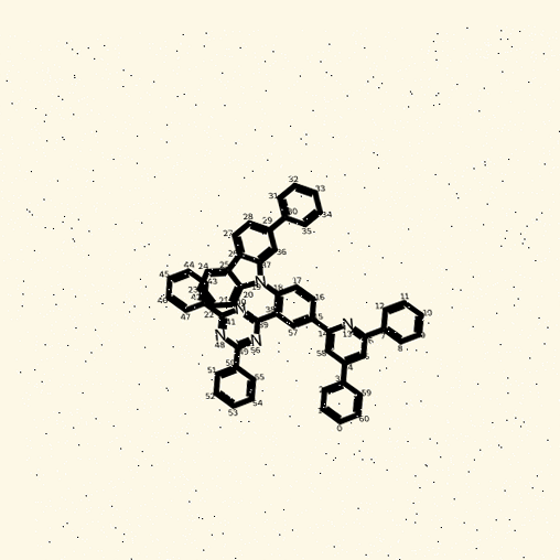 c1ccc(-c2cc(-c3ccccc3)nc(-c3ccc(-n4c5ccccc5c5ccc(-c6ccccc6)cc54)c(-c4nc(-c5ccccc5)nc(-c5ccccc5)n4)c3)c2)cc1